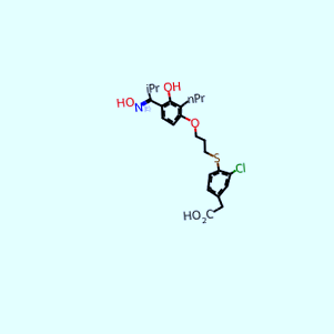 CCCc1c(OCCCSc2ccc(CC(=O)O)cc2Cl)ccc(/C(=N/O)C(C)C)c1O